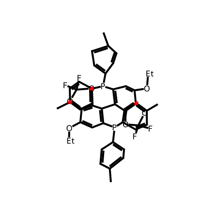 CCOc1cc(P(c2ccc(C)cc2)c2ccc(C)cc2)c(-c2c(P(c3ccc(C)cc3)c3ccc(C)cc3)cc(OCC)c3c2OC(F)(F)O3)c2c1OC(F)(F)O2